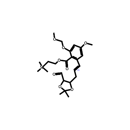 COCOc1cc(OC)cc(/C=C/CC2OC(C)(C)OC2C=O)c1C(=O)OCC[Si](C)(C)C